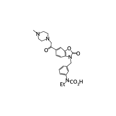 CCN(C(=O)O)c1cccc(Cn2c(=O)oc3cc(C(=O)CN4CCN(C)CC4)ccc32)c1